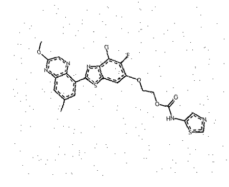 COc1cnc2c(-c3nc4c(Cl)c(F)c(OCCOC(=O)Nc5cncs5)cc4s3)cc(C)cc2n1